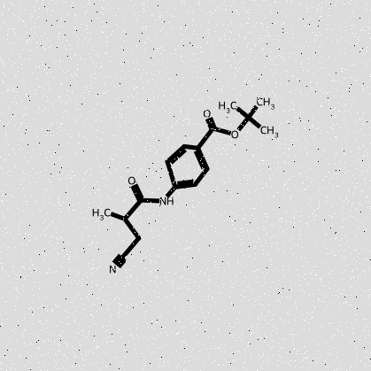 CC(CC#N)C(=O)Nc1ccc(C(=O)OC(C)(C)C)cc1